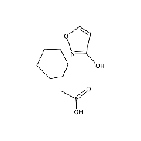 C1CCCCC1.CC(=O)O.Oc1ccon1